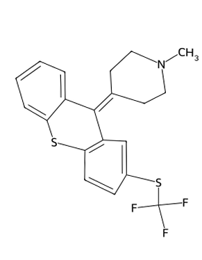 CN1CCC(=C2c3ccccc3Sc3ccc(SC(F)(F)F)cc32)CC1